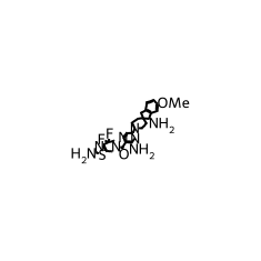 COc1ccc2c(c1)C(N)C1(CCN(c3cnc(C(=O)N4Cc5sc(N)nc5C(F)(F)C4)c(N)n3)CC1)C2